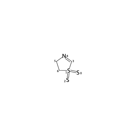 S=S1(=S)C=NCC1